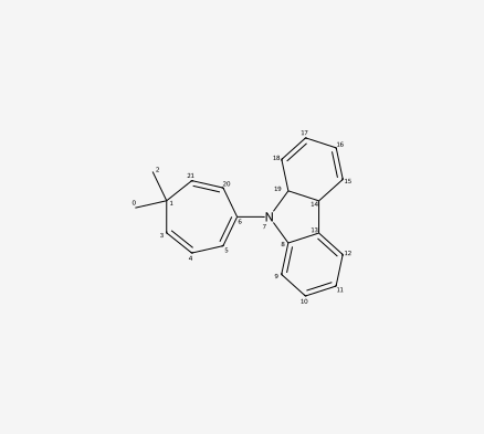 CC1(C)C=CC=C(N2c3ccccc3C3C=CC=CC32)C=C1